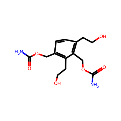 NC(=O)OCc1ccc(CCO)c(COC(N)=O)c1CCO